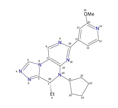 CC[C@@H]1c2nncn2-c2cnc(-c3ccnc(OC)c3)nc2N1C1CCCC1